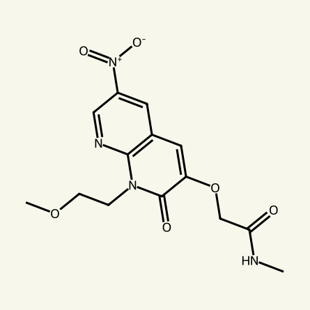 CNC(=O)COc1cc2cc([N+](=O)[O-])cnc2n(CCOC)c1=O